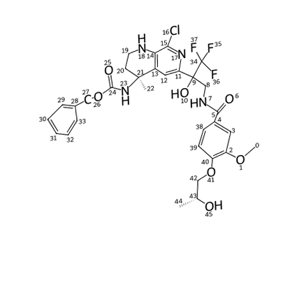 COc1cc(C(=O)NCC(O)(c2cc3c(c(Cl)n2)NCC[C@]3(C)NC(=O)OCc2ccccc2)C(F)(F)F)ccc1OC[C@@H](C)O